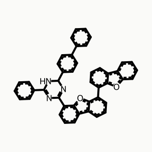 c1ccc(C2=NC(c3cccc4c3oc3c(-c5cccc6c5oc5ccccc56)cccc34)=NC(c3ccc(-c4ccccc4)cc3)N2)cc1